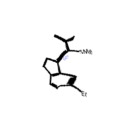 C=C(C)/C(SC)=C1\CCc2ccc(CC)cc21